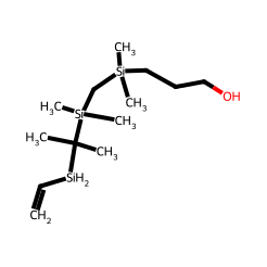 C=C[SiH2]C(C)(C)[Si](C)(C)C[Si](C)(C)CCCO